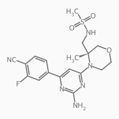 C[C@@]1(CNS(C)(=O)=O)COCCN1c1cc(-c2ccc(C#N)c(F)c2)nc(N)n1